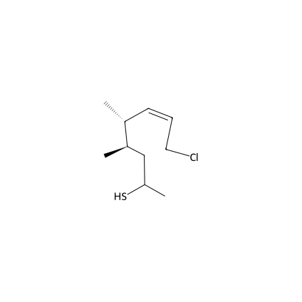 CC(S)C[C@@H](C)[C@H](C)/C=C\CCl